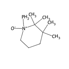 CC1(C)CCC[N+]([O-])(P)C1(C)C